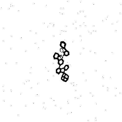 c1ccc2c(c1)-c1c(-c3ccc4c(c3)c3ccccc3n4-c3cccc4c3oc3ccccc34)cccc1C21C2CC3CC4CC1C342